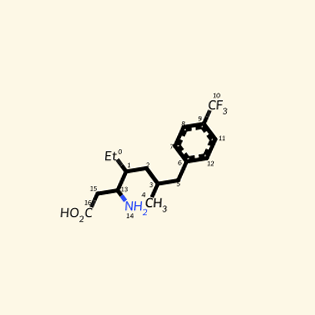 CCC(CC(C)Cc1ccc(C(F)(F)F)cc1)C(N)CC(=O)O